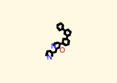 O=C1C(Cc2cccnc2)=NC=CC1c1cccc(-c2cccc(-c3ccccc3)c2)c1